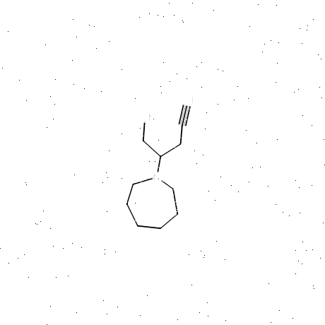 C#CCC(CC#N)N1CCCCCC1